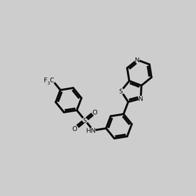 O=S(=O)(Nc1cccc(-c2nc3ccncc3s2)c1)c1ccc(C(F)(F)F)cc1